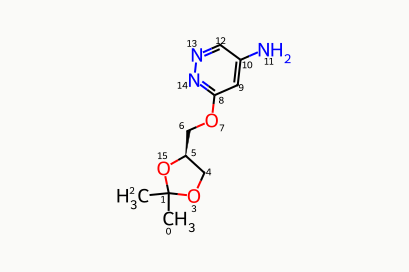 CC1(C)OC[C@H](COc2cc(N)cnn2)O1